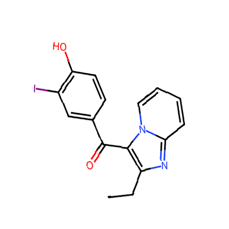 CCc1nc2ccccn2c1C(=O)c1ccc(O)c(I)c1